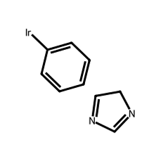 C1=NC=NC1.[Ir][c]1ccccc1